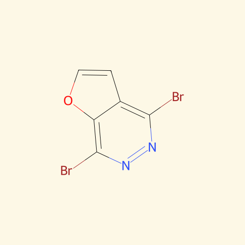 Brc1nnc(Br)c2occc12